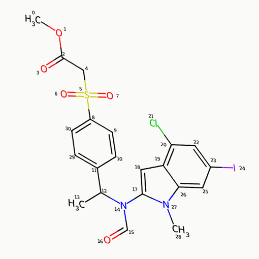 COC(=O)CS(=O)(=O)c1ccc(C(C)N(C=O)c2cc3c(Cl)cc(I)cc3n2C)cc1